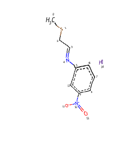 CSC/C=N/c1cccc([N+](=O)[O-])c1.I